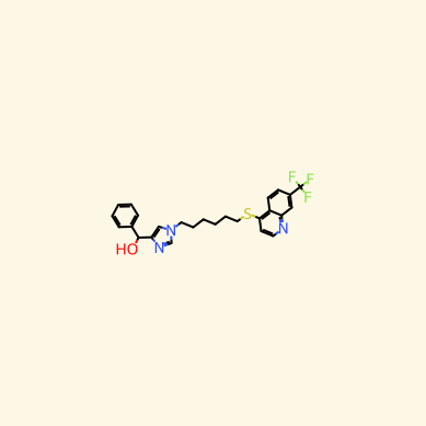 OC(c1ccccc1)c1cn(CCCCCCSc2ccnc3cc(C(F)(F)F)ccc23)cn1